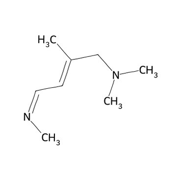 C/N=C\C=C(/C)CN(C)C